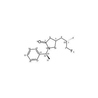 C[C@H](CF)CC1CC(=O)N([C@@H](C)c2ccccc2)C1